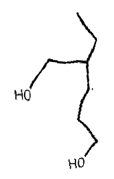 CCC([CH]CCO)CO